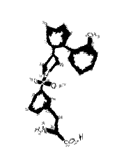 Cc1ccccc1-c1ccccc1C1CN(S(=O)(=O)c2cccc(CC(N)C(=O)O)c2)C1